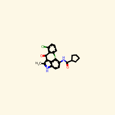 Cc1[nH]c2ccc(NC(=O)C3CCCC3)cc2c1C(=O)c1c(F)cccc1Cl